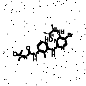 Cc1c(NC(=O)N=S(C)(C)=O)cccc1Nc1ncc(Br)c(N[C@H](C)[C@@H](C)O)n1